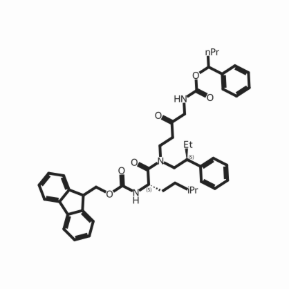 CCCC(OC(=O)NCC(=O)CCN(C[C@@H](CC)c1ccccc1)C(=O)[C@H](CCC(C)C)NC(=O)OCC1c2ccccc2-c2ccccc21)c1ccccc1